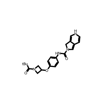 CC(C)(C)C(=O)N1CC(Oc2ccc(NC(=O)N3C=C4C=CNC=C4C3)cc2)C1